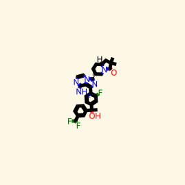 CC1(C)C[C@@H]2CC[C@@H](c3nc(-c4ccc(C(C)(O)c5cccc(C(F)F)c5)cc4F)c4c(N)nccn34)CN2C1=O